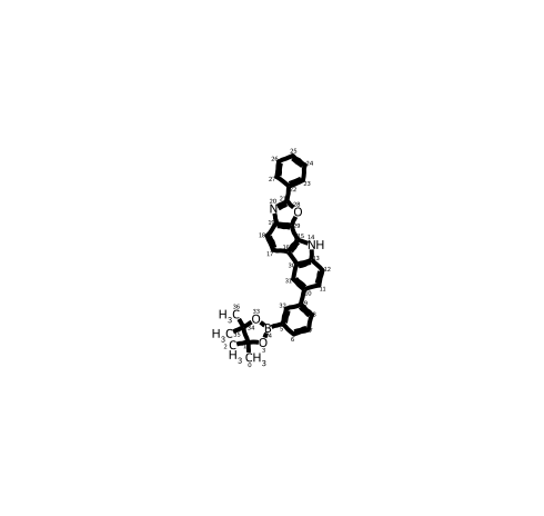 CC1(C)OB(c2cccc(-c3ccc4[nH]c5c(ccc6nc(-c7ccccc7)oc65)c4c3)c2)OC1(C)C